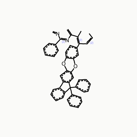 C=N/C(=N\C(=C)/C(C)=C(/C=C\C)c1ccc2c(c1)Oc1cc3c(cc1O2)-c1ccccc1C3(c1ccccc1)c1ccccc1)c1ccccc1